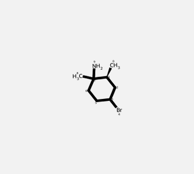 C[C@H]1CC(Br)CCC1(C)N